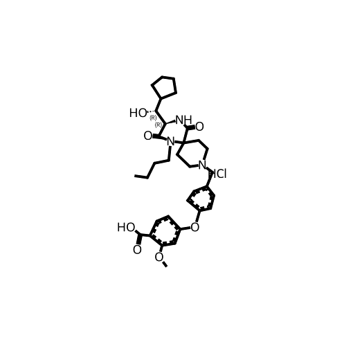 CCCCN1C(=O)[C@@H]([C@H](O)C2CCCC2)NC(=O)C12CCN(Cc1ccc(Oc3ccc(C(=O)O)c(OC)c3)cc1)CC2.Cl